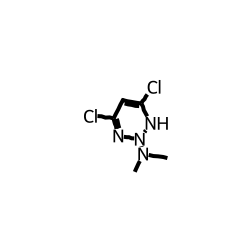 CN(C)N1N=C(Cl)C=C(Cl)N1